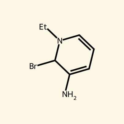 CCN1C=CC=C(N)C1Br